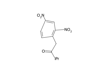 CC(C)C(=O)Cc1ccc([N+](=O)[O-])cc1[N+](=O)[O-]